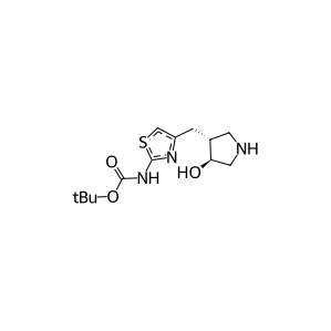 CC(C)(C)OC(=O)Nc1nc(C[C@@H]2CNC[C@H]2O)cs1